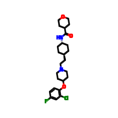 O=C(N[C@H]1CC[C@H](CCN2CCC(Oc3ccc(F)cc3Cl)CC2)CC1)C1CCOCC1